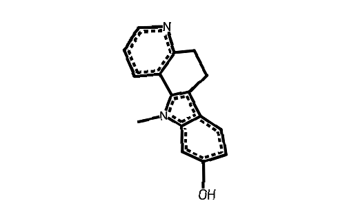 Cn1c2c(c3ccc(O)cc31)CCc1ncccc1-2